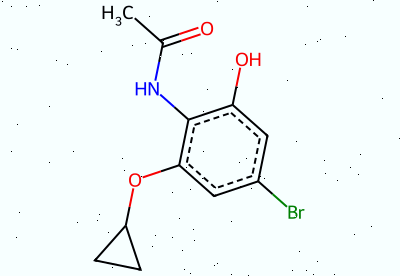 CC(=O)Nc1c(O)cc(Br)cc1OC1CC1